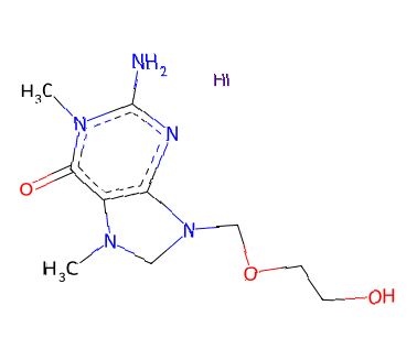 CN1CN(COCCO)c2nc(N)n(C)c(=O)c21.I